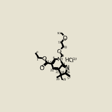 CCOC(=O)C1=CN(COCCOC)C2=NC(C)C(C)(C)C2=C1.Cl